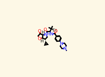 CCC(C)(C)C(NC(=O)c1ccc(N2CCN(C)CC2)cc1)C(=O)N1C[C@H](C2CC2)[C@H]2OCC(=O)[C@H]21